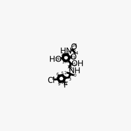 CC(C)(Cc1ccc(Cl)cc1F)NC[C@H](O)c1cc(O)cc2c1OCC(=O)N2